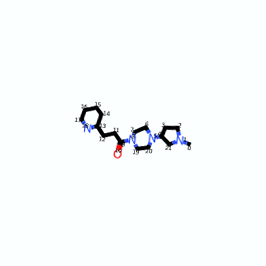 CN1CCC(N2CCN(C(=O)CCC3CCCC[N]3)CC2)C1